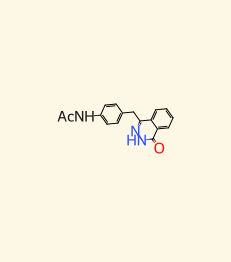 CC(=O)Nc1ccc(Cc2n[nH]c(=O)c3ccccc23)cc1